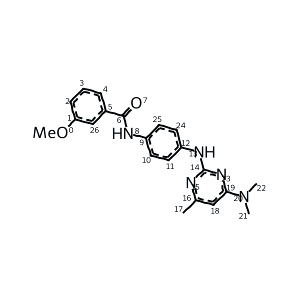 COc1cccc(C(=O)Nc2ccc(Nc3nc(C)cc(N(C)C)n3)cc2)c1